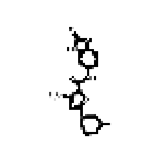 CC1CCCN(c2nc(C(F)(F)F)c(C(=O)Nc3ccc4[nH]c(=O)[nH]c4c3)o2)C1